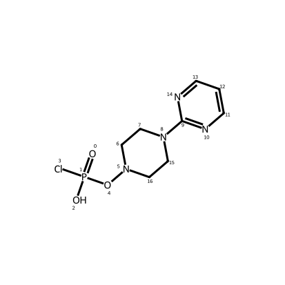 O=P(O)(Cl)ON1CCN(c2ncccn2)CC1